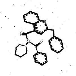 O=C(c1ccccc1)N(C(=O)c1cc(Cc2ccccc2)nc2ccccc12)N1CCCCC1